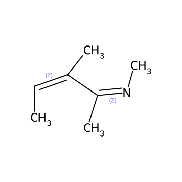 C/C=C(C)\C(C)=N/C